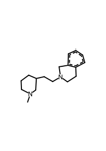 CN1CCCC(CCN2CCc3cc[c]cc3C2)C1